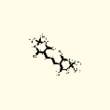 CC1=C(/C=C/C=C2C(=O)OC(C)(C)OC2=O)C(=O)OC(C)(C)O1